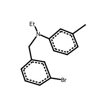 CCN(Cc1cccc(Br)c1)c1cccc(C)c1